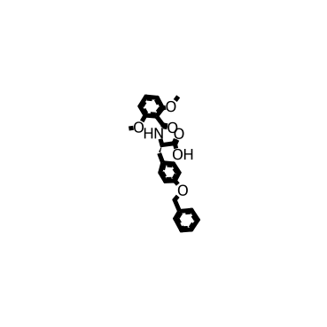 COc1cccc(OC)c1C(=O)N[C@@H](Cc1ccc(OCc2ccccc2)cc1)C(=O)O